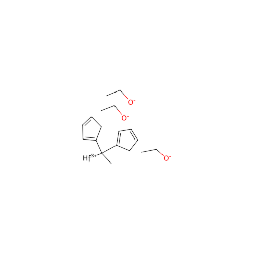 CC[O-].CC[O-].CC[O-].C[C]([Hf+3])(C1=CC=CC1)C1=CC=CC1